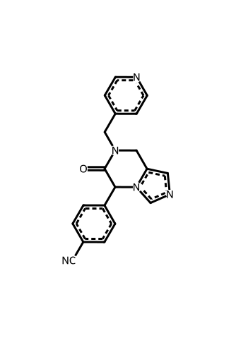 N#Cc1ccc(C2C(=O)N(Cc3ccncc3)Cc3cncn32)cc1